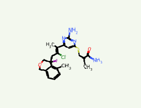 C/C(=C(/Cl)CC1(I)COCc2cccc(C)c21)c1cc(SCC(C)C(N)=O)nc(N)n1